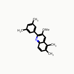 COc1cc2c(C)c(C)ccc2nc1-c1cc(C)cc(C)c1